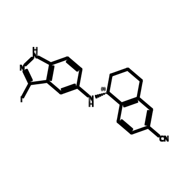 N#Cc1ccc2c(c1)CCC[C@H]2Nc1ccc2[nH]nc(I)c2c1